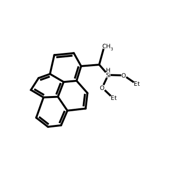 CCO[SiH](OCC)C(C)c1ccc2ccc3cccc4ccc1c2c34